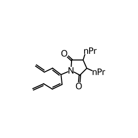 C=C/C=C\C(=C/C=C)N1C(=O)C(CCC)C(CCC)C1=O